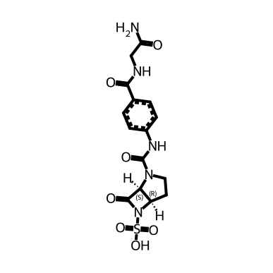 NC(=O)CNC(=O)c1ccc(NC(=O)N2CC[C@@H]3[C@H]2C(=O)N3S(=O)(=O)O)cc1